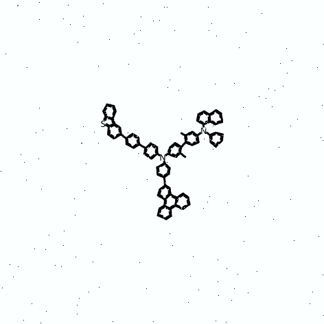 Cc1cc(N(c2ccc(-c3ccc(-c4ccc5sc6ccccc6c5c4)cc3)cc2)c2ccc(-c3ccc4c5ccccc5c5ccccc5c4c3)cc2)ccc1-c1ccc(N(c2ccccc2)c2cccc3ccccc23)cc1C